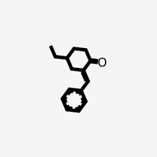 CCC1CCC(=O)C(=Cc2ccccc2)C1